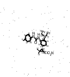 Cc1ccc(NC(=O)Nc2cc([C@@H]3[C@@H](C(=O)O)C3(C)C)ccc2N(CC(C)C)CC(C)C)cc1